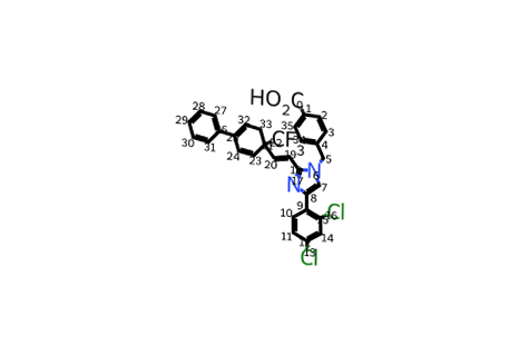 O=C(O)c1ccc(Cn2cc(-c3ccc(Cl)cc3Cl)nc2C=CC2(C(F)(F)F)C=CC(c3ccccc3)=CC2)cc1